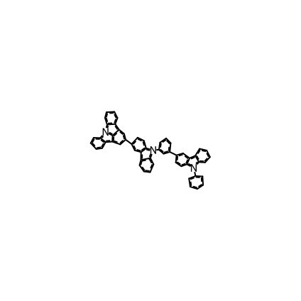 c1ccc(-n2c3ccccc3c3cc(-c4cccc(-n5c6ccccc6c6cc(-c7cc8c9ccccc9n9c%10ccccc%10c(c7)c89)ccc65)c4)ccc32)cc1